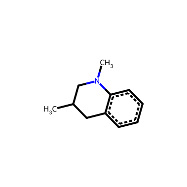 CC1Cc2ccccc2N(C)C1